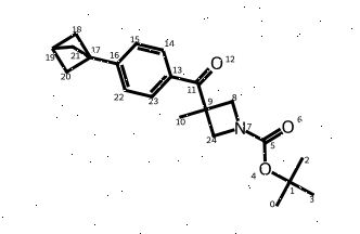 CC(C)(C)OC(=O)N1CC(C)(C(=O)c2ccc(C34CC(C3)C4)cc2)C1